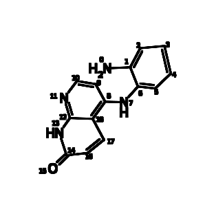 Nc1ccccc1Nc1ccnc2[nH]c(=O)ccc12